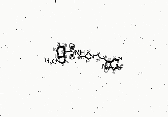 Cn1ccc2c(S(=O)(=O)NCC3CN(CCCc4noc5cc(F)ccc45)C3)cccc21